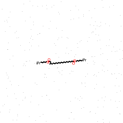 CC(C)CCCCCOC(=O)CCCCCCCCCCCCCCCCC(C)CC(=O)OCCCCCC(C)C